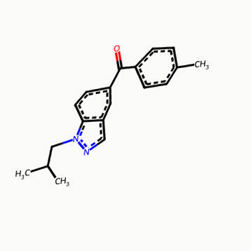 Cc1ccc(C(=O)c2ccc3c(cnn3CC(C)C)c2)cc1